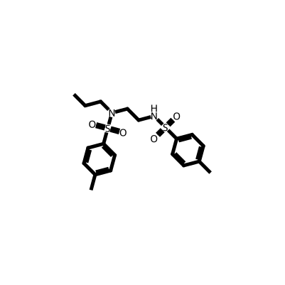 CCCN(CCNS(=O)(=O)c1ccc(C)cc1)S(=O)(=O)c1ccc(C)cc1